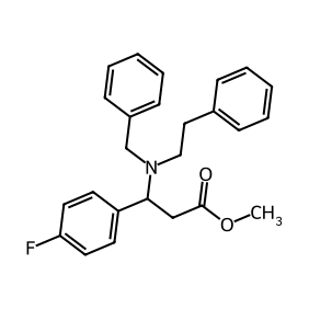 COC(=O)CC(c1ccc(F)cc1)N(CCc1ccccc1)Cc1ccccc1